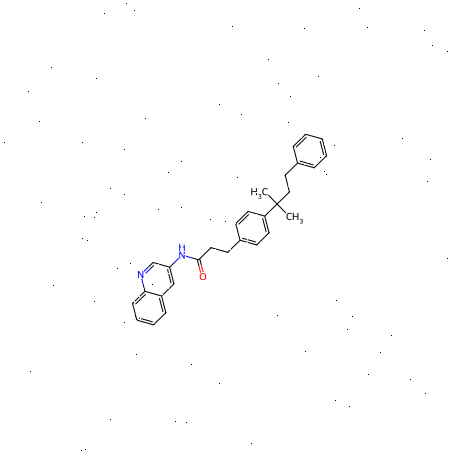 CC(C)(CCc1ccccc1)c1ccc(CCC(=O)Nc2cnc3ccccc3c2)cc1